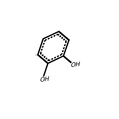 Oc1[c]cccc1O